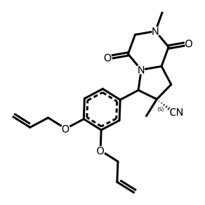 C=CCOc1ccc(C2N3C(=O)CN(C)C(=O)C3C[C@]2(C)C#N)cc1OCC=C